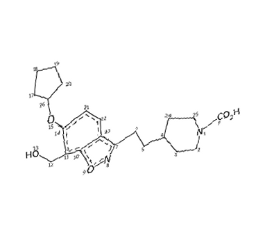 O=C(O)N1CCC(CCc2noc3c(CO)c(OC4CCCC4)ccc23)CC1